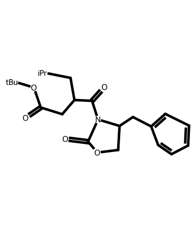 CC(C)CC(CC(=O)OC(C)(C)C)C(=O)N1C(=O)OCC1Cc1ccccc1